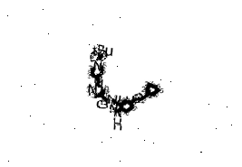 CC(C)(C)OC(=O)N1CCC(n2cc(C(=O)Nc3n[nH]c4ccc(OCc5ccccc5)cc34)cn2)CC1